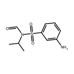 CC(C)N(C=O)S(=O)(=O)c1cccc(N)c1